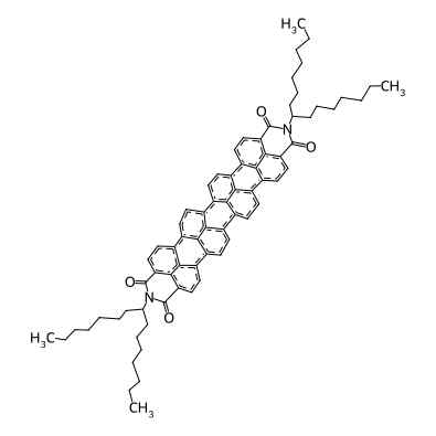 CCCCCCCC(CCCCCCC)N1C(=O)c2ccc3c4ccc5c6ccc7c8ccc9c%10c(ccc(c%11ccc(c%12ccc(c%13ccc(c2c3%13)C1=O)c4c5%12)c6c7%11)c%108)C(=O)N(C(CCCCCCC)CCCCCCC)C9=O